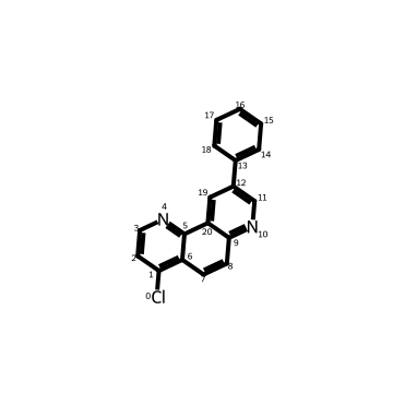 Clc1ccnc2c1ccc1ncc(-c3ccccc3)cc12